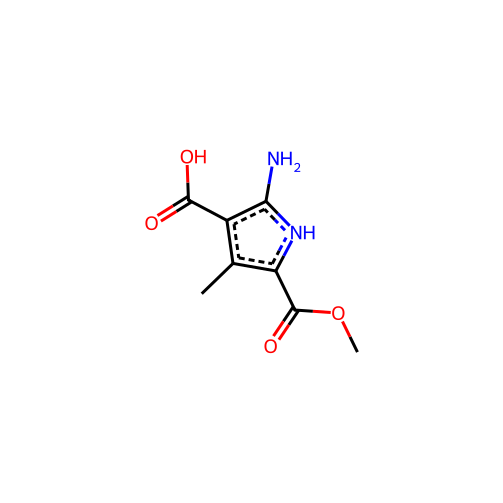 COC(=O)c1[nH]c(N)c(C(=O)O)c1C